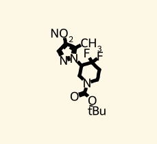 Cc1c([N+](=O)[O-])cnn1C1CN(C(=O)OC(C)(C)C)CCC1(F)F